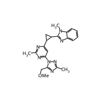 COCc1nc(C)nn1-c1cc(C2CC2c2nc3ccccc3n2C)nc(C)n1